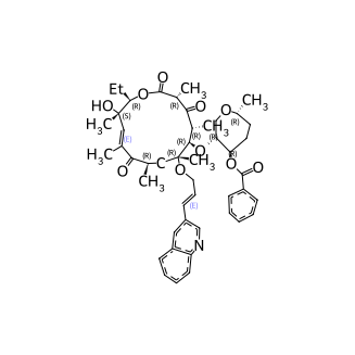 CC[C@H]1OC(=O)[C@H](C)C(=O)[C@H](C)[C@@H](O[C@@H]2CO[C@H](C)CC[C@H]2OC(=O)c2ccccc2)[C@](C)(OC/C=C/c2cnc3ccccc3c2)C[C@@H](C)C(=O)/C(C)=C/[C@]1(C)O